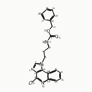 O=C(NCCCn1cnc2c(Cl)nc3ccccc3c21)OCc1ccccc1